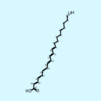 CCCCCCCCCC=CC=CC=CC=CC=CC=CC(=O)O.[LiH]